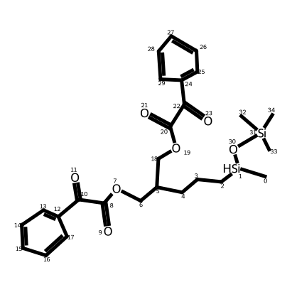 C[SiH](CCCC(COC(=O)C(=O)c1ccccc1)COC(=O)C(=O)c1ccccc1)O[Si](C)(C)C